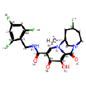 C[C@]12CC(F)CCN(C1)C(=O)c1c(O)c(=O)c(C(=O)NCc3c(F)cc(F)cc3F)cn12